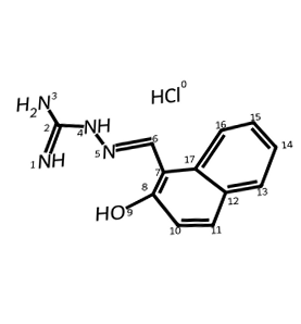 Cl.N=C(N)NN=Cc1c(O)ccc2ccccc12